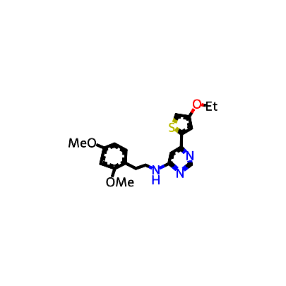 CCOc1csc(-c2cc(NCCc3ccc(OC)cc3OC)ncn2)c1